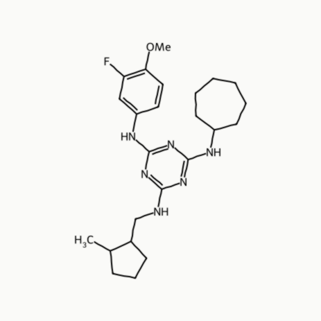 COc1ccc(Nc2nc(NCC3CCCC3C)nc(NC3CCCCCC3)n2)cc1F